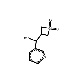 O=S1(=O)CC(C(O)c2cccnc2)C1